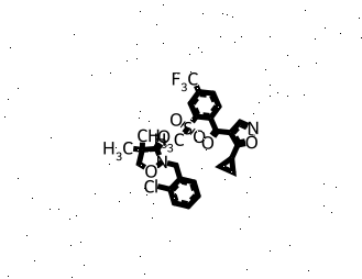 CC1(C)CON(Cc2ccccc2Cl)C1=O.CS(=O)(=O)c1cc(C(F)(F)F)ccc1C(=O)c1cnoc1C1CC1